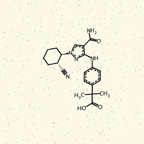 CC(C)(C(=O)O)c1ccc(Nc2nn([C@@H]3CCCC[C@H]3C#N)cc2C(N)=O)cc1